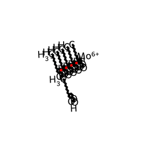 CCCCCCCCCc1ccc(O[PH](=O)[O-])cc1.CCCCCCCCCc1ccc(O[PH](=O)[O-])cc1.CCCCCCCCCc1ccc(O[PH](=O)[O-])cc1.CCCCCCCCCc1ccc(O[PH](=O)[O-])cc1.CCCCCCCCCc1ccc(O[PH](=O)[O-])cc1.CCCCCCCCCc1ccc(O[PH](=O)[O-])cc1.[Mo+6]